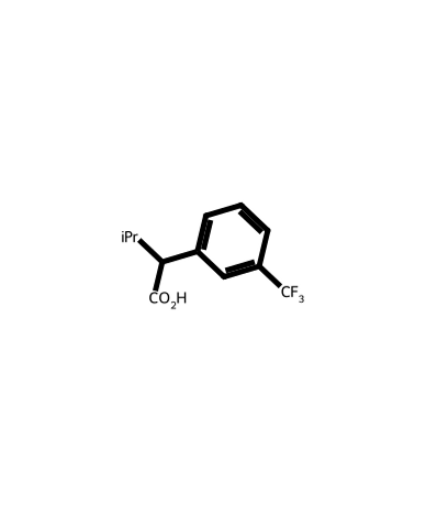 CC(C)C(C(=O)O)c1cccc(C(F)(F)F)c1